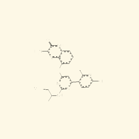 COCC(C)Nc1nc(Oc2cccc3[nH]c(=O)c(N)nc23)cc(-c2ccc(C(F)(F)F)nc2Cl)n1